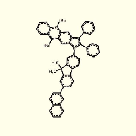 CC(C)(C)c1c2ccccc2c(C(C)(C)C)c2cc3c(cc12)c(-c1ccccc1)c(-c1ccccc1)n3-c1ccc2c(c1)C(C)(C)c1cc(-c3ccc4ccccc4c3)ccc1-2